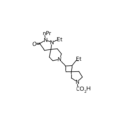 CCCN1C(=O)CC2(CCN(C3CC4(CCN(C(=O)O)C4)C3CC)CC2)N1CC